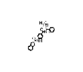 COC[C@@H](NC(=O)c1ccc(NC(=O)N2Cc3ccccc3C2)cc1)c1ccccc1